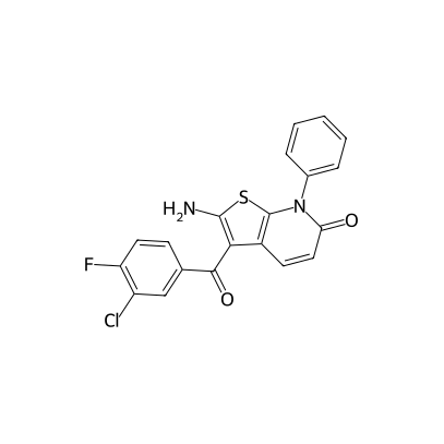 Nc1sc2c(ccc(=O)n2-c2ccccc2)c1C(=O)c1ccc(F)c(Cl)c1